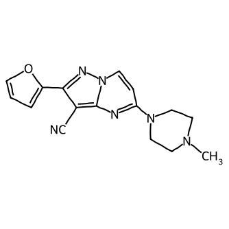 CN1CCN(c2ccn3nc(-c4ccco4)c(C#N)c3n2)CC1